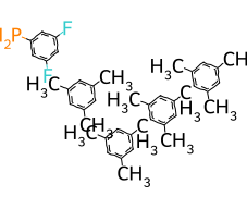 Cc1cc(C)cc(C)c1.Cc1cc(C)cc(C)c1.Cc1cc(C)cc(C)c1.Cc1cc(C)cc(C)c1.Fc1cc(F)cc(P)c1